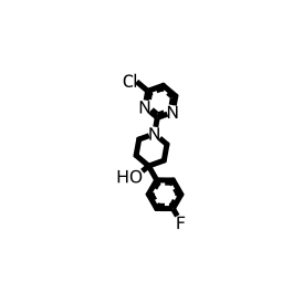 OC1(c2ccc(F)cc2)CCN(c2nccc(Cl)n2)CC1